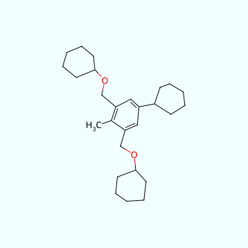 Cc1c(COC2CCCCC2)cc(C2CCCCC2)cc1COC1CCCCC1